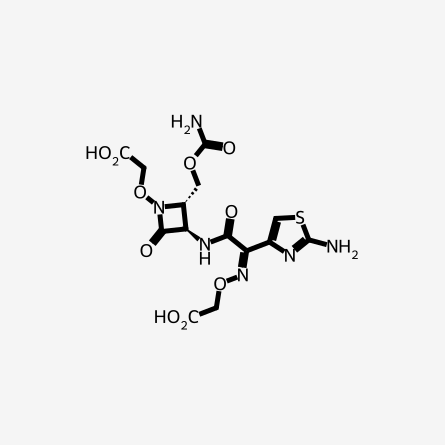 NC(=O)OC[C@@H]1[C@@H](NC(=O)/C(=N\OCC(=O)O)c2csc(N)n2)C(=O)N1OCC(=O)O